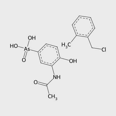 CC(=O)Nc1cc([As](=O)(O)O)ccc1O.Cc1ccccc1CCl